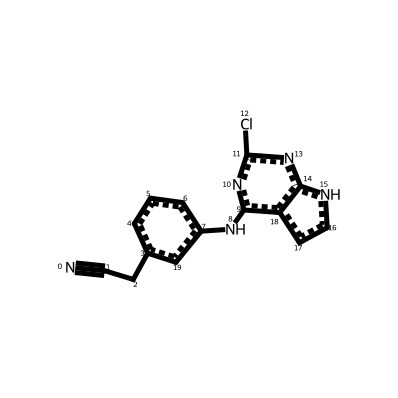 N#CCc1cccc(Nc2nc(Cl)nc3[nH]ccc23)c1